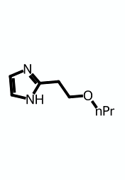 [CH2]CCOCCc1ncc[nH]1